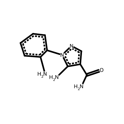 NC(=O)c1cnn(-c2ccccc2N)c1N